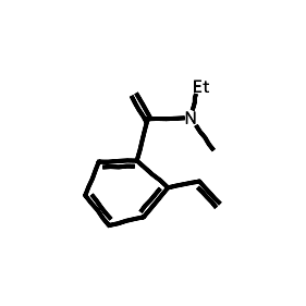 C=Cc1ccccc1C(=C)N(C)CC